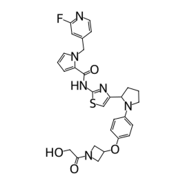 O=C(Nc1nc(C2CCCN2c2ccc(OC3CN(C(=O)CO)C3)cc2)cs1)c1cccn1Cc1ccnc(F)c1